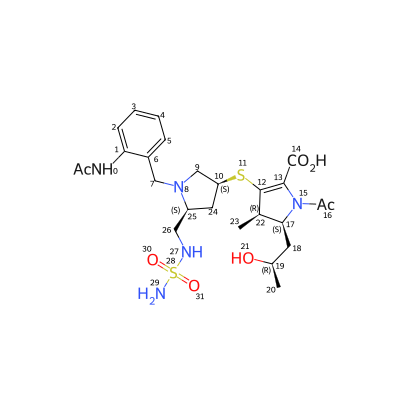 CC(=O)Nc1ccccc1CN1C[C@@H](SC2=C(C(=O)O)N(C(C)=O)[C@@H](C[C@@H](C)O)[C@H]2C)C[C@H]1CNS(N)(=O)=O